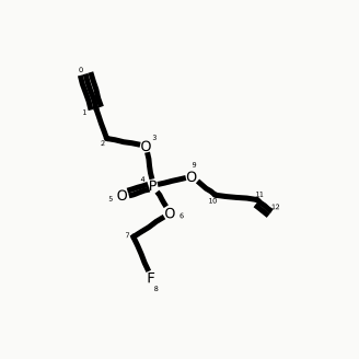 C#CCOP(=O)(OCF)OCC=C